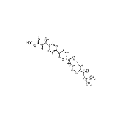 COC(=O)NC(=N)c1ccc(C2CCN(C(=O)N[C@H]3CC[C@H](C(=O)OC(C)C)CC3)CC2)cc1